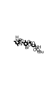 Cc1cc(C)c(N(C)C(=O)c2cc(Br)c3c(c2C)OC(C)([C@@H]2CC[C@@H](NC(=O)OC(C)(C)C)CO2)O3)c(=O)[nH]1